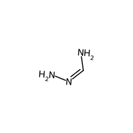 N/C=N\N